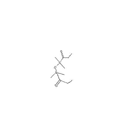 CCC(=O)[Si](C)(C)O[Si](C)(C)C(=O)CC